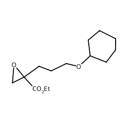 CCOC(=O)C1(CCCOC2CCCCC2)CO1